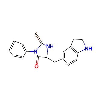 O=C1C(Cc2ccc3c(c2)CCN3)NC(=S)N1c1ccccc1